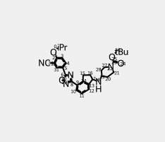 CC(C)Oc1ccc(-c2nc(-c3cccc4c3CCC4NC3CCN(C(=O)OC(C)(C)C)CC3)no2)cc1C#N